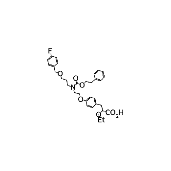 CCOC(Cc1ccc(OCCN(CCCOCc2ccc(F)cc2)C(=O)OCCc2ccccc2)cc1)C(=O)O